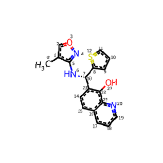 Cc1conc1N[C@H](c1cccs1)c1ccc2cccnc2c1O